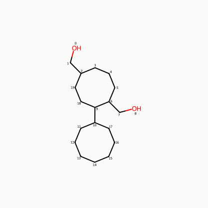 OCC1CCCC(CO)C(C2CCCCCCC2)CC1